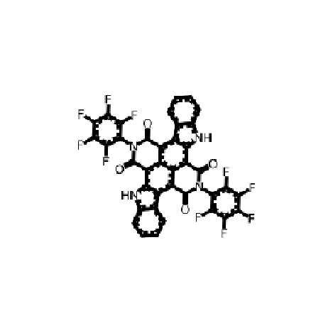 O=C1c2c3[nH]c4ccccc4c3c3c4c(c5[nH]c6ccccc6c5c(c24)C(=O)N1c1c(F)c(F)c(F)c(F)c1F)C(=O)N(c1c(F)c(F)c(F)c(F)c1F)C3=O